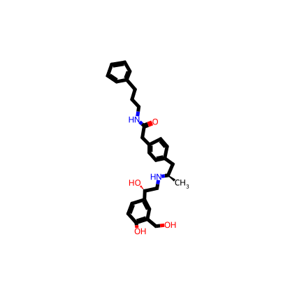 C[C@H](Cc1ccc(CC(=O)NCCCc2ccccc2)cc1)NC[C@@H](O)c1ccc(O)c(CO)c1